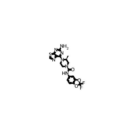 C[C@H]1CN(C(=O)Nc2ccc3c(c2)OC(F)(F)O3)CCN1c1nc(N)nc2scnc12